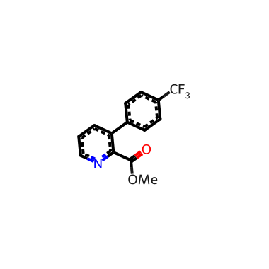 COC(=O)c1ncccc1-c1ccc(C(F)(F)F)cc1